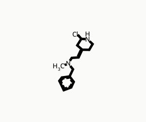 CN(CC=C1CCNC(Cl)C1)Cc1ccccc1